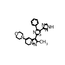 Cc1nn2c(c1-c1nc(-c3ccccc3)c(-c3nc[nH]n3)s1)C=C(N1CCOCC1)CC2